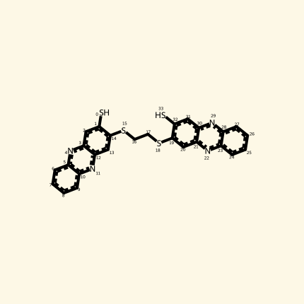 Sc1cc2nc3ccccc3nc2cc1SCCSc1cc2nc3ccccc3nc2cc1S